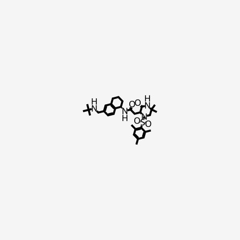 Cc1cc(C)c(S(=O)(=O)N2CC(C)(C)NC(=O)C2CC(=O)N[C@@H]2CCCc3cc(CNC(C)(C)C)ccc32)c(C)c1